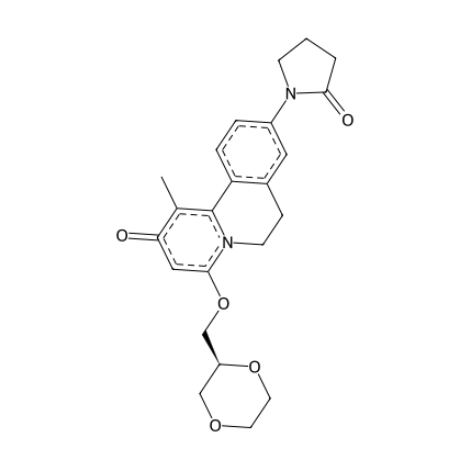 Cc1c2n(c(OC[C@@H]3COCCO3)cc1=O)CCc1cc(N3CCCC3=O)ccc1-2